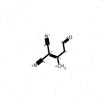 CC(CC=O)=C(C#N)C#N